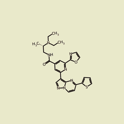 CCN(CC)[C@@H](C)CNC(=O)c1cc(-c2ncco2)nc(-c2cnn3ccc(-c4cccs4)nc23)c1